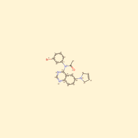 CC(=O)N(c1cccc(Br)c1)c1ncnc2ccc(N3CC=CC3)cc12